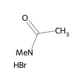 Br.CNC(C)=O